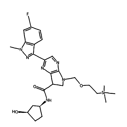 Cn1nc(-c2cnc3c(n2)C(C(=O)N[C@H]2CC[C@@H](O)C2)CN3COCC[Si](C)(C)C)c2ccc(F)cc21